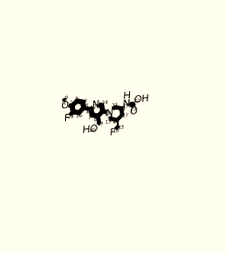 COc1ccc(-c2cc(CO)c(N3C[C@H](CF)C[C@@H](NC(=O)O)C3)cn2)cc1F